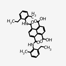 CCc1cccc(C)c1NC(=O)c1ccc(C(=O)Nc2c(C)cccc2CC)c2c(C(=O)O)ccc(C(=O)O)c12